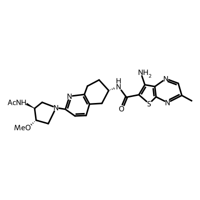 CO[C@H]1CN(c2ccc3c(n2)CC[C@H](NC(=O)c2sc4nc(C)cnc4c2N)C3)C[C@@H]1NC(C)=O